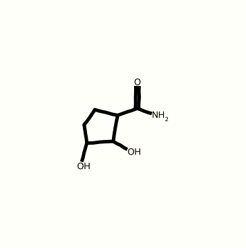 NC(=O)C1CCC(O)C1O